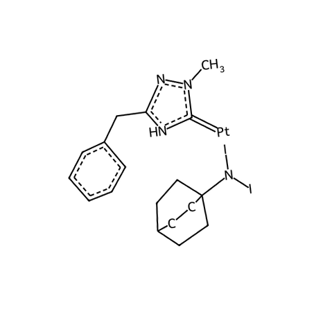 Cn1nc(Cc2ccccc2)[nH][c]1=[Pt].IN(I)C12CCC(CC1)CC2